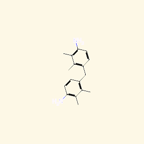 Cc1c(N)ccc(Cc2ccc(N)c(C)c2C)c1C